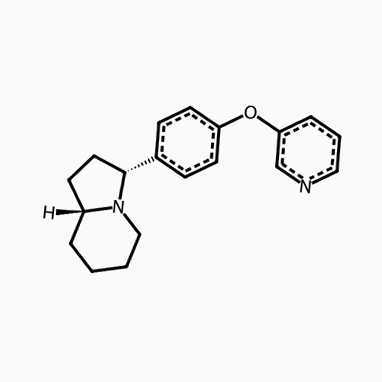 c1cncc(Oc2ccc([C@H]3CC[C@H]4CCCCN43)cc2)c1